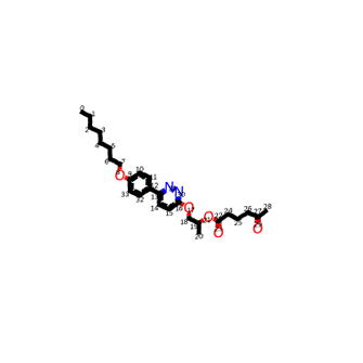 CCCCCCCCOc1ccc(-c2ccc(OCC(C)OC(=O)CCCC(C)=O)nn2)cc1